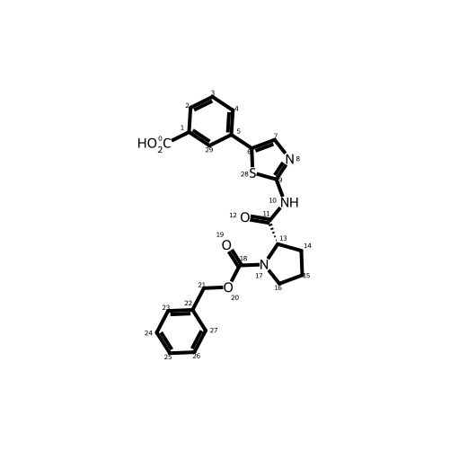 O=C(O)c1cccc(-c2cnc(NC(=O)[C@@H]3CCCN3C(=O)OCc3ccccc3)s2)c1